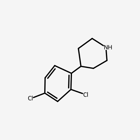 Clc1ccc(C2CCNCC2)c(Cl)c1